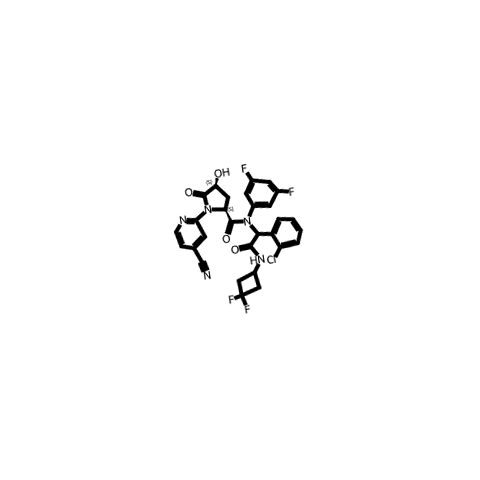 N#Cc1ccnc(N2C(=O)[C@@H](O)C[C@H]2C(=O)N(c2cc(F)cc(F)c2)C(C(=O)NC2CC(F)(F)C2)c2ccccc2Cl)c1